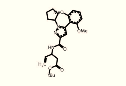 C=CC(CC(=O)OC(C)(C)C)NC(=O)c1cc(-c2c(OC)cccc2OC)n(C2CCCC2)n1